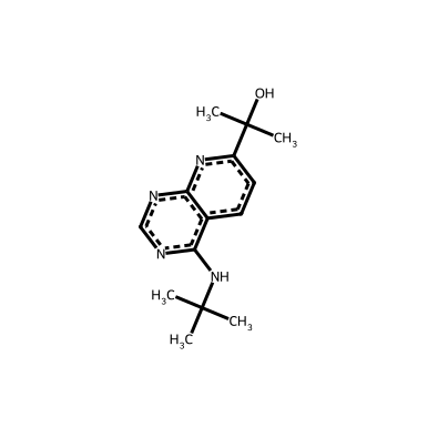 CC(C)(C)Nc1ncnc2nc(C(C)(C)O)ccc12